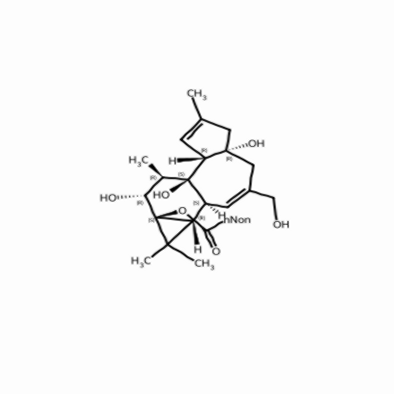 CCCCCCCCCC(=O)O[C@@]12[C@H](O)[C@@H](C)[C@]3(O)[C@@H]4C=C(C)C[C@@]4(O)CC(CO)=C[C@H]3[C@@H]1C2(C)C